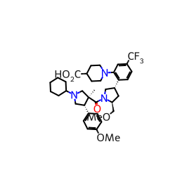 COC[C@@H]1C[C@@H](c2ccc(C(F)(F)F)cc2N2CCC(C(=O)O)CC2)CN1C(=O)[C@]1(C)CN(C2CCCCC2)C[C@H]1c1ccc(OC)cc1